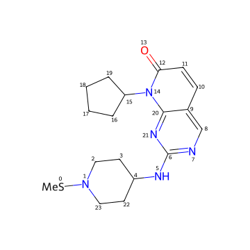 CSN1CCC(Nc2ncc3ccc(=O)n(C4CCCC4)c3n2)CC1